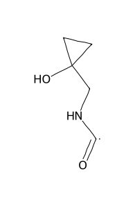 O=[C]NCC1(O)CC1